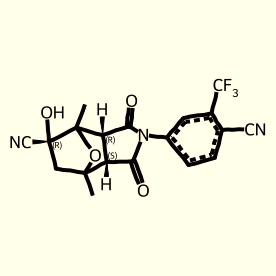 CC12C[C@@](O)(C#N)C(C)(O1)[C@@H]1C(=O)N(c3ccc(C#N)c(C(F)(F)F)c3)C(=O)[C@@H]12